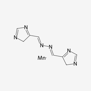 C1=NCC(C=NN=CC2=NC=NC2)=N1.[Mn]